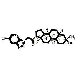 C[C@@]1(O)CC[C@H]2[C@H](CC[C@@H]3[C@@H]2CC[C@]2(C)[C@@H](C(=O)Cn4nnc5cc(Cl)cnc54)CC[C@@H]32)C1